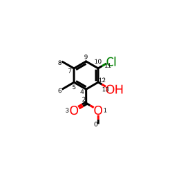 COC(=O)c1c(C)c(C)cc(Cl)c1O